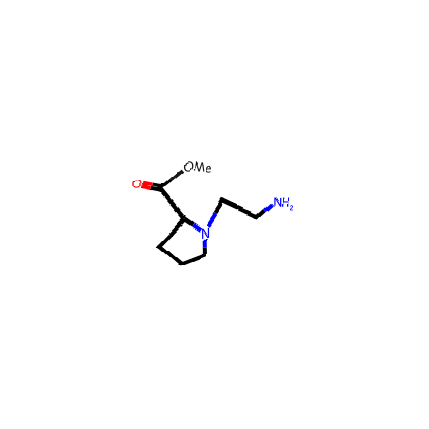 COC(=O)C1CCCN1CCN